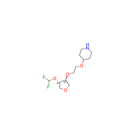 FC(F)O[C@H]1COC[C@@H]1OCCOC1CCNCC1